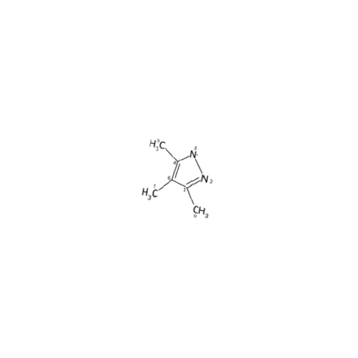 CC1=N[N]C(C)=C1C